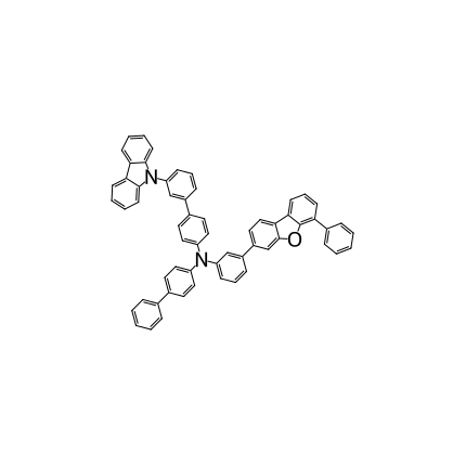 c1ccc(-c2ccc(N(c3ccc(-c4cccc(-n5c6ccccc6c6ccccc65)c4)cc3)c3cccc(-c4ccc5c(c4)oc4c(-c6ccccc6)cccc45)c3)cc2)cc1